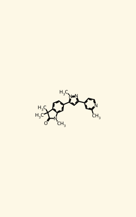 Cc1cc(-c2cc(-c3ccc4c(c3)N(C)C(=O)C4(C)C)n(C)n2)ccn1